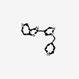 c1cc(Cn2cc(-c3nc4cnccc4s3)cn2)ccn1